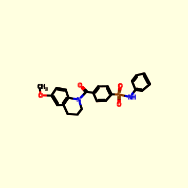 COc1ccc2c(c1)CCCN2C(=O)c1ccc(S(=O)(=O)Nc2ccccc2)cc1